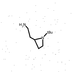 CC(C)(C)N1CCC1CCN